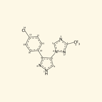 FC(F)(F)c1ncn(-c2c[nH]nc2-c2ccc(Cl)cc2)n1